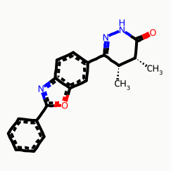 C[C@@H]1C(c2ccc3nc(-c4ccccc4)oc3c2)=NNC(=O)[C@@H]1C